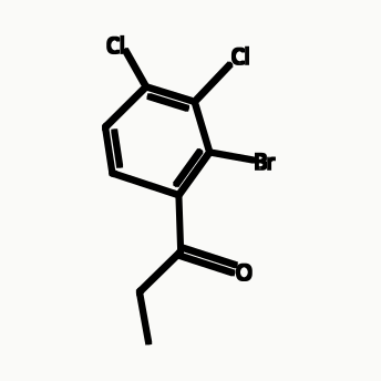 CCC(=O)c1ccc(Cl)c(Cl)c1Br